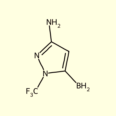 Bc1cc(N)nn1C(F)(F)F